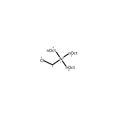 CCCCCCCC[N+](CCl)(CCCCCCCC)CCCCCCCC